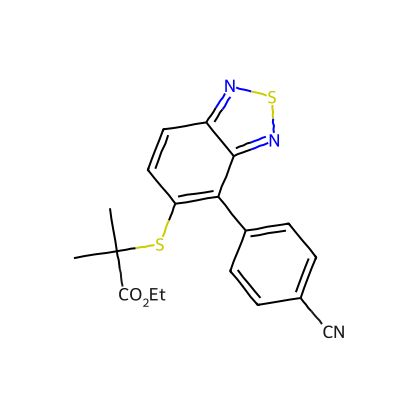 CCOC(=O)C(C)(C)Sc1ccc2nsnc2c1-c1ccc(C#N)cc1